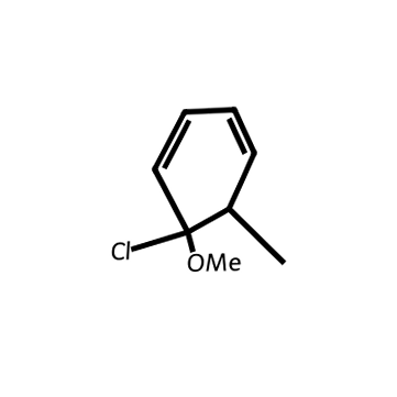 COC1(Cl)C=CC=CC1C